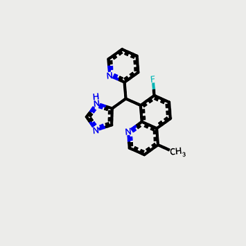 Cc1ccnc2c(C(c3ccccn3)c3cnc[nH]3)c(F)ccc12